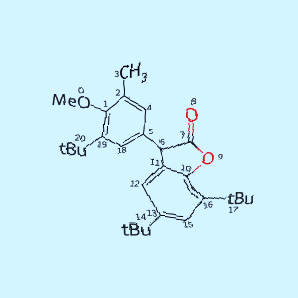 COc1c(C)cc(C2C(=O)Oc3c2cc(C(C)(C)C)cc3C(C)(C)C)cc1C(C)(C)C